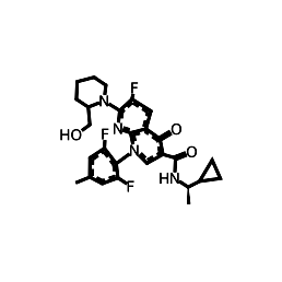 Cc1cc(F)c(-n2cc(C(=O)N[C@H](C)C3CC3)c(=O)c3cc(F)c(N4CCCCC4CO)nc32)c(F)c1